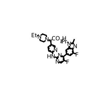 CCN1CCN([C@H](C(=O)O)c2ccc(Nc3ncc(F)c(-c4cc(F)c5nc(C)n(C(C)C)c5c4)n3)nc2)CC1